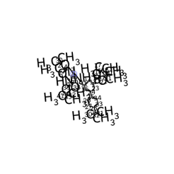 CC(C)(C)OC(=O)/N=C(/NCc1cc(B2OC(C)(C)C(C)(C)O2)cc(-c2ccc(C(C)(C)C)cc2)c1)NC(=O)OC(C)(C)C